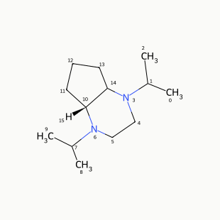 CC(C)N1CCN(C(C)C)[C@@H]2CCCC21